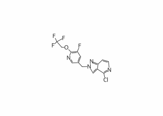 Fc1cc(Cn2cc3c(Cl)nccc3n2)cnc1OCC(F)(F)F